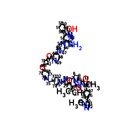 CC(C)[C@@H](C(=O)N1CCC[C@H]1C(=O)N[C@@H](C)c1ccc(-c2ccnn2C)cc1)c1cc(N2CCC(CN3CCC(O[C@H]4C[C@H](Oc5cc(N6CCN(c7cc(-c8ccccc8O)nnc7N)CC6)ccn5)C4)CC3)CC2)no1